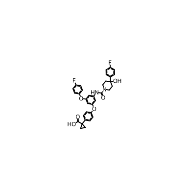 O=C(Nc1cc(Oc2ccc(F)cc2)cc(Oc2ccc(C3(C(=O)O)CC3)cc2)c1)N1CCC(O)(c2ccc(F)cc2)CC1